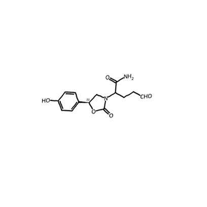 NC(=O)C(CCC=O)N1C[C@H](c2ccc(O)cc2)OC1=O